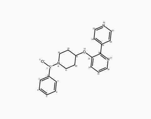 [O-][S+](c1ccccc1)N1CCC(Oc2cccnc2-c2ccncc2)CC1